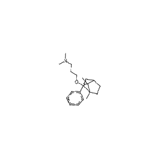 CN(C)CCCOC1(c2ccccc2)CC2CCC1(C)C2(C)C